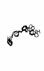 O=C1CCC(N2Cc3c(CCN4CCCN(CCNC56CC7CC(CC(C7)C5)C6)CC4)cccc3C2=O)C(=O)N1